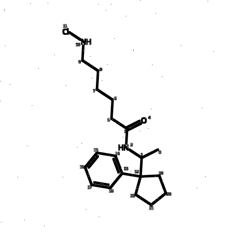 CC(NC(=O)CCCCCNCl)C1(c2ccccc2)CCCC1